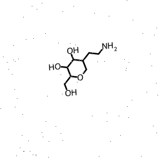 NCCC1COC(CO)C(O)C1O